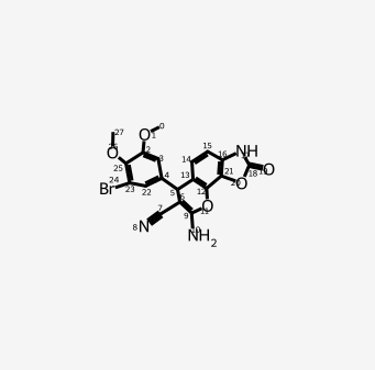 COc1cc(C2C(C#N)=C(N)Oc3c2ccc2[nH]c(=O)oc32)cc(Br)c1OC